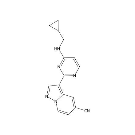 N#Cc1ccn2ncc(-c3nccc(NCC4CC4)n3)c2c1